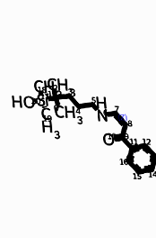 CC(C)(CCCN/C=C\C(=O)c1ccccc1)[Si](C)(C)O